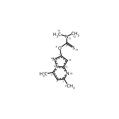 Cc1cc(C)n2nc(OC(=S)N(C)C)cc2n1